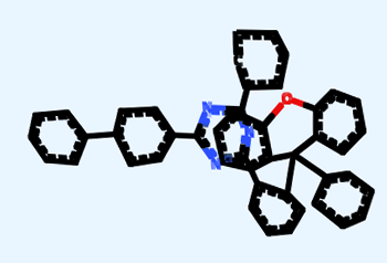 c1ccc(-c2ccc(-c3nc(-c4ccccc4)nc(-c4ccccc4C4(c5ccccc5)c5ccccc5Oc5ccccc54)n3)cc2)cc1